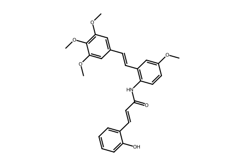 COc1ccc(NC(=O)/C=C/c2ccccc2O)c(/C=C/c2cc(OC)c(OC)c(OC)c2)c1